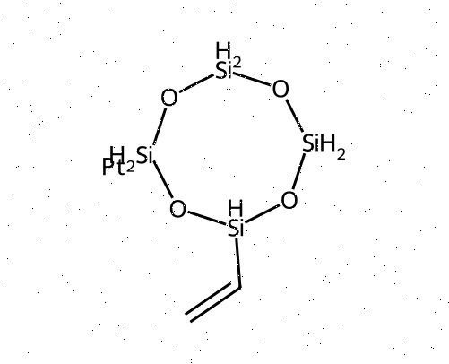 C=C[SiH]1O[SiH2]O[SiH2]O[SiH2]O1.[Pt]